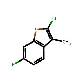 Cc1c(Cl)sc2cc(F)ccc12